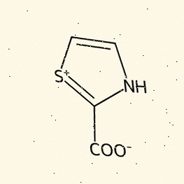 O=C([O-])c1[nH]cc[s+]1